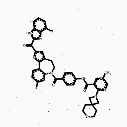 Cc1cnc(N2CC3(CCOCC3)C2)c(C(=O)Nc2ccc(C(=O)N3CCc4cc(C(=O)c5nc6c(F)cccc6[nH]5)sc4-c4ccc(F)cc43)cc2)c1